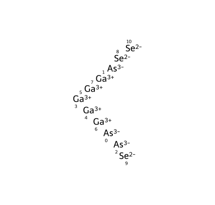 [As-3].[As-3].[As-3].[Ga+3].[Ga+3].[Ga+3].[Ga+3].[Ga+3].[Se-2].[Se-2].[Se-2]